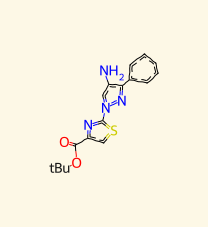 CC(C)(C)OC(=O)c1csc(-n2cc(N)c(-c3ccccc3)n2)n1